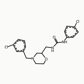 O=C(NCC1CN(Cc2cccc(Cl)c2)CCO1)Nc1ccc(Cl)cc1